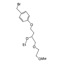 CCOC(CCOc1ccc(CBr)cc1)COCCOC